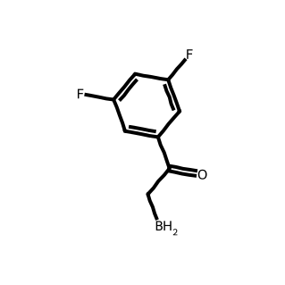 BCC(=O)c1cc(F)cc(F)c1